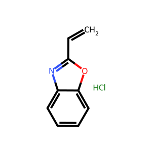 C=Cc1nc2ccccc2o1.Cl